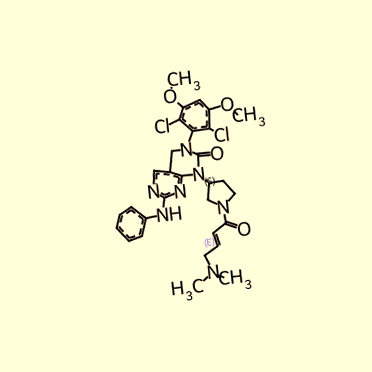 COc1cc(OC)c(Cl)c(N2Cc3cnc(Nc4ccccc4)nc3N([C@H]3CCN(C(=O)/C=C/CN(C)C)C3)C2=O)c1Cl